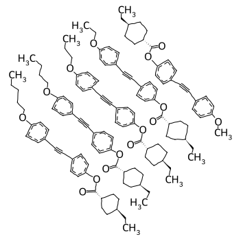 CCCCCOc1ccc(C#Cc2ccc(OC(=O)[C@H]3CC[C@H](CC)CC3)cc2)cc1.CCCCOc1ccc(C#Cc2ccc(OC(=O)[C@H]3CC[C@H](CC)CC3)cc2)cc1.CCCOc1ccc(C#Cc2ccc(OC(=O)[C@H]3CC[C@H](CC)CC3)cc2)cc1.CCOc1ccc(C#Cc2ccc(OC(=O)[C@H]3CC[C@H](CC)CC3)cc2)cc1.CC[C@H]1CC[C@H](C(=O)Oc2ccc(C#Cc3ccc(OC)cc3)cc2)CC1